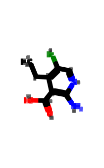 CCc1c(Br)cnc(N)c1C(=O)O